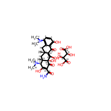 CN(C)c1ccc(O)c2c1C[C@H]1C[C@H]3[C@H](N(C)C)C(O)=C(C(N)=O)C(=O)[C@@]3(O)C(O)=C1C2=O.O=C(O)C(O)C(O)C(=O)O